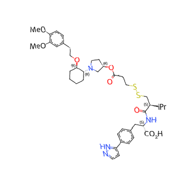 COc1ccc(CCO[C@@H]2CCCC[C@H]2N2CC[C@@H](OC(=O)CCSSC[C@H](C(=O)N[C@@H](Cc3ccc(-c4ccn[nH]4)cc3)C(=O)O)C(C)C)C2)cc1OC